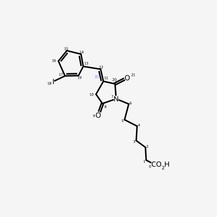 O=C(O)CCCCCCN1C(=O)C/C(=C\c2cccc(I)c2)C1=O